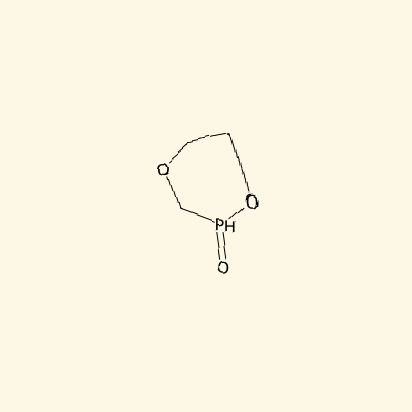 O=[PH]1COCCO1